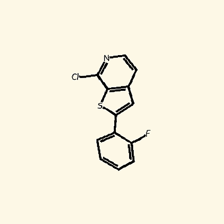 Fc1ccccc1-c1cc2ccnc(Cl)c2s1